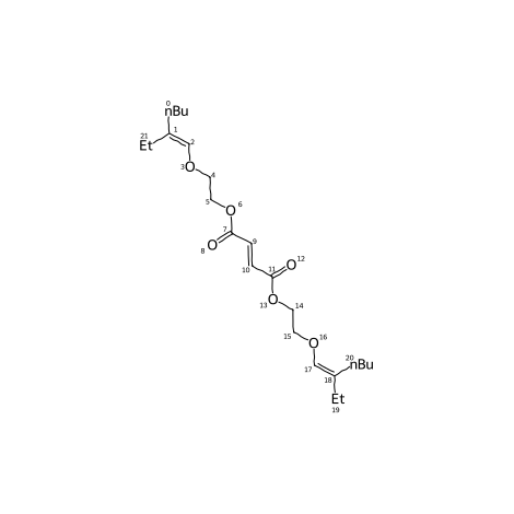 CCCCC(=COCCOC(=O)/C=C/C(=O)OCCOC=C(CC)CCCC)CC